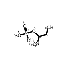 N#CCC(N)OP(=O)(O)O